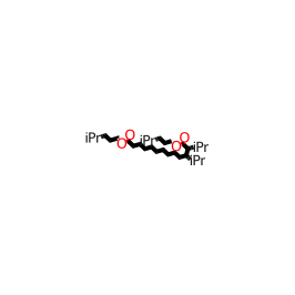 CC(C)CCCOC(=O)CCCCCCCCCC(C(C)C)C(C(=O)OCCCC(C)C)C(C)C